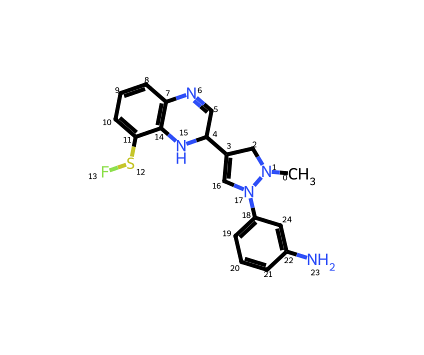 CN1CC(C2C=Nc3cccc(SF)c3N2)=CN1c1cccc(N)c1